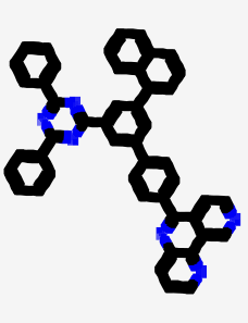 c1ccc(-c2nc(-c3ccccc3)nc(-c3cc(-c4ccc(-c5nc6cccnc6c6cnccc56)cc4)cc(-c4cccc5ccccc45)c3)n2)cc1